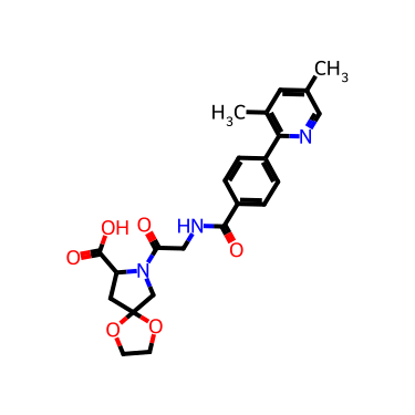 Cc1cnc(-c2ccc(C(=O)NCC(=O)N3CC4(CC3C(=O)O)OCCO4)cc2)c(C)c1